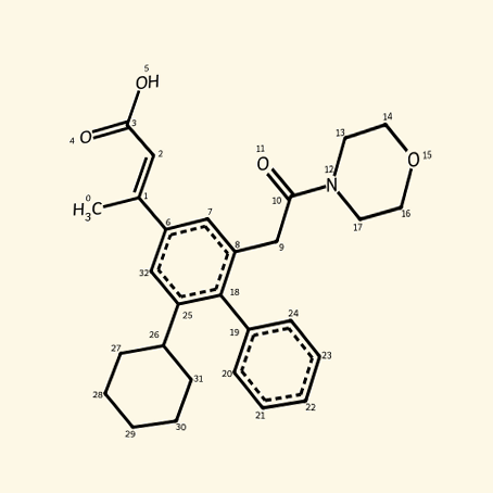 C/C(=C\C(=O)O)c1cc(CC(=O)N2CCOCC2)c(-c2ccccc2)c(C2CCCCC2)c1